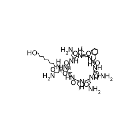 CC(C)C[C@@H]1NC(=O)[C@H](CCN)NC(=O)[C@H](CCN)NC(=O)[C@H](Cc2ccccc2)NC(=O)[C@@H](CC(C)C)NC(=O)[C@H](CCN)NC(=O)[C@@H](NC(=O)[C@@H](CCN)NC(=O)CCCCCCCO)CCNC1=O